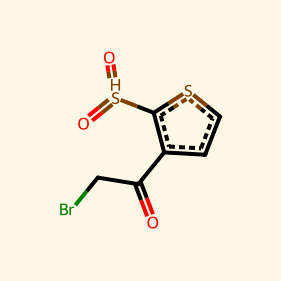 O=C(CBr)c1ccsc1[SH](=O)=O